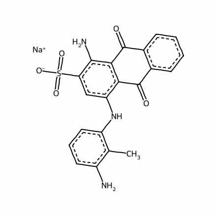 Cc1c(N)cccc1Nc1cc(S(=O)(=O)[O-])c(N)c2c1C(=O)c1ccccc1C2=O.[Na+]